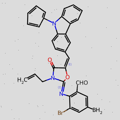 Bc1cc(Br)c(/N=C2\O/C(=C/c3ccc4c(c3)c3ccccc3n4-c3ccccc3)C(=O)N2CC=C)c(C=O)c1